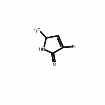 CC(C)C1=CC(C(F)(F)F)NC1=O